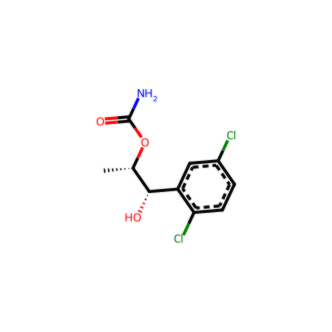 C[C@H](OC(N)=O)[C@@H](O)c1cc(Cl)ccc1Cl